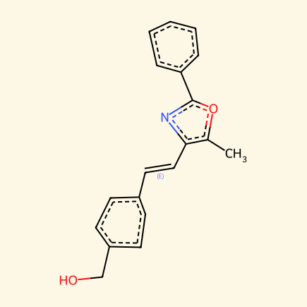 Cc1oc(-c2ccccc2)nc1/C=C/c1ccc(CO)cc1